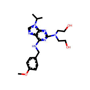 COc1ccc(CNc2nc(N(CCO)CCO)nc3c2ncn3C(C)C)cc1